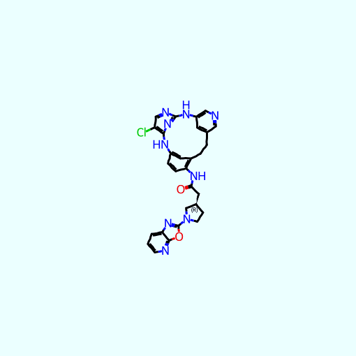 O=C(C[C@H]1CCN(c2nc3cccnc3o2)C1)Nc1ccc2cc1CCc1cncc(c1)Nc1ncc(Cl)c(n1)N2